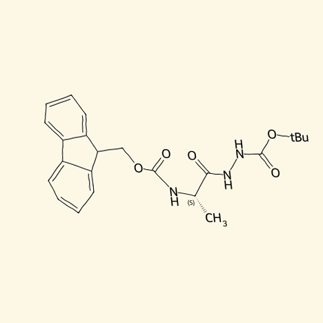 C[C@H](NC(=O)OCC1c2ccccc2-c2ccccc21)C(=O)NNC(=O)OC(C)(C)C